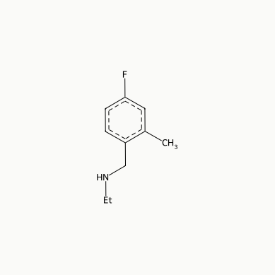 CCNCc1ccc(F)cc1C